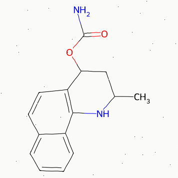 CC1CC(OC(N)=O)c2ccc3ccccc3c2N1